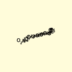 O=[N+]([O-])c1ccc(OCCOCCOCCOCCOCCOC2CCCCO2)cc1